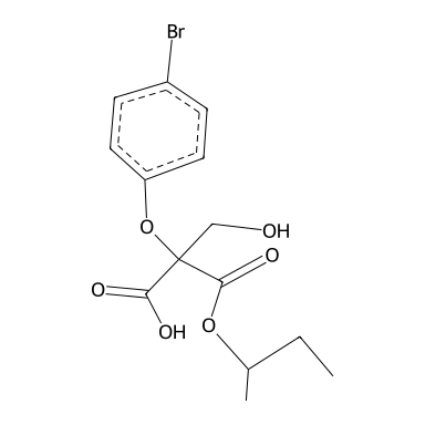 CCC(C)OC(=O)C(CO)(Oc1ccc(Br)cc1)C(=O)O